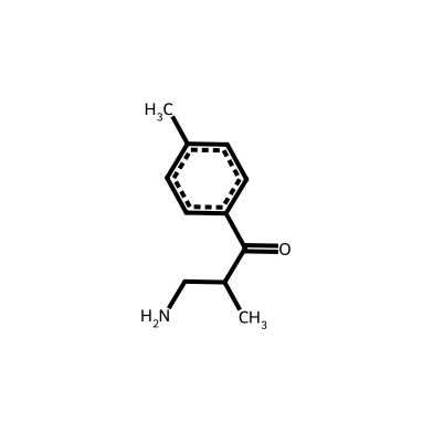 Cc1ccc(C(=O)C(C)CN)cc1